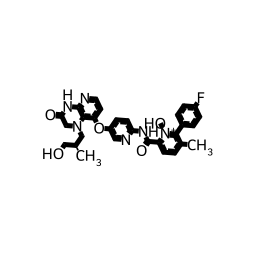 Cc1ccc(C(=O)Nc2ccc(Oc3ccnc4c3N(C[C@H](C)CO)CC(=O)N4)cn2)[n+](O)c1-c1ccc(F)cc1